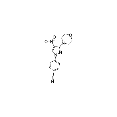 N#Cc1ccc(-n2cc([N+](=O)[O-])c(N3CCOCC3)n2)cc1